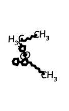 CCCCCCCCc1ccc(-c2ccccc2)c(OC(=O)c2ccc(SC(C)CCCCCC)cc2)c1